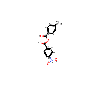 Cc1ccc(C(=O)OC(=O)c2ccc([N+](=O)[O-])cc2)cc1